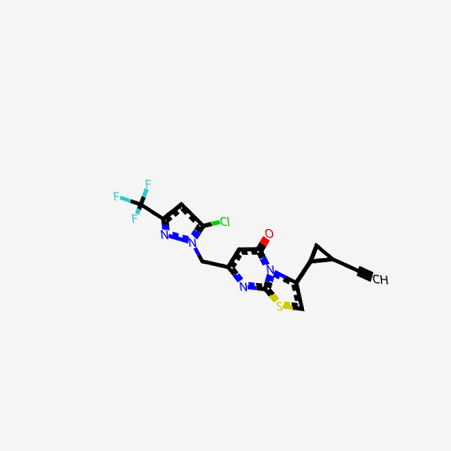 C#CC1CC1c1csc2nc(Cn3nc(C(F)(F)F)cc3Cl)cc(=O)n12